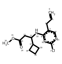 C=CCc1cnc(Cl)nc1NC(CC(=O)OC)C1CCC1